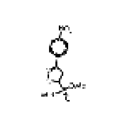 COP(=O)(OC)C1CC(c2ccc([N+](=O)[O-])cc2)=NO1